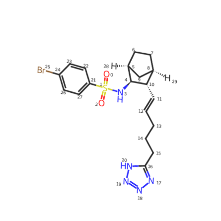 O=S(=O)(N[C@H]1[C@H]2CC[C@H](C2)[C@@H]1C=CCCCc1nnn[nH]1)c1ccc(Br)cc1